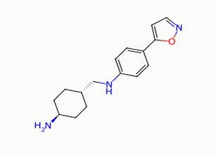 N[C@H]1CC[C@H](CNc2ccc(-c3ccno3)cc2)CC1